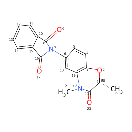 C[C@H]1Oc2ccc(N3C(=O)c4ccccc4C3=O)cc2N(C)C1=O